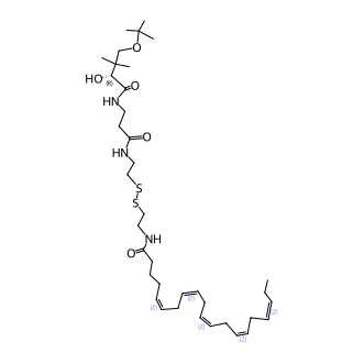 CC/C=C\C/C=C\C/C=C\C/C=C\C/C=C\CCCC(=O)NCCSSCCNC(=O)CCNC(=O)[C@H](O)C(C)(C)COC(C)(C)C